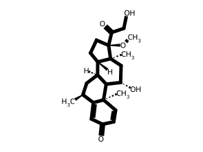 CO[C@]1(C(=O)CO)CC[C@H]2[C@@H]3C[C@H](C)C4=CC(=O)C=C[C@]4(C)C3[C@@H](O)C[C@@]21C